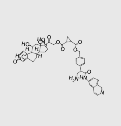 C[C@]12C=CC(=O)C=C1CC[C@@H]1[C@@H]2[C@@H](O)C[C@@]2(C)[C@H]1CC[C@]2(O)C(=O)COC(=O)C1CC1C(=O)OCc1ccc(C(CN)C(=O)Nc2ccc3cnccc3c2)cc1